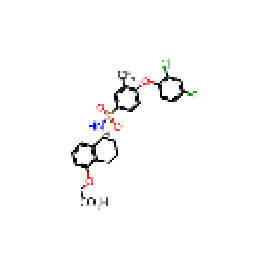 O=C(O)COc1cccc2c1CCC[C@H]2NS(=O)(=O)c1ccc(Oc2ccc(F)cc2Cl)c(C(F)(F)F)c1